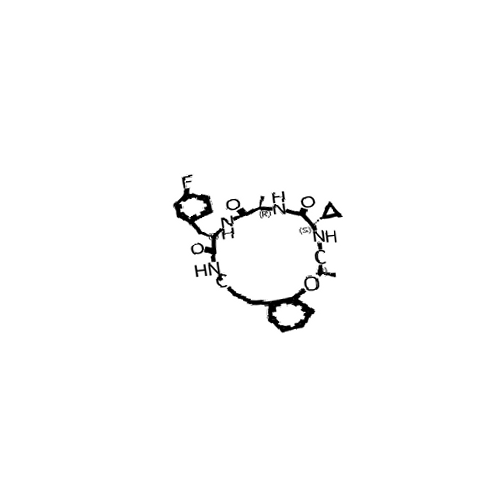 C[C@@H]1CN[C@@H](C2CC2)C(=O)N[C@H](C)C(=O)N[C@H](Cc2ccc(F)cc2)C(=O)NCCCc2ccccc2O1